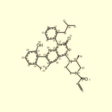 C=CC(=O)N1CCN(c2nc(=O)n(-c3ccccc3CC(C)C)c3nc(-c4c(O)cccc4F)c(F)cc23)[C@@H](C)C1